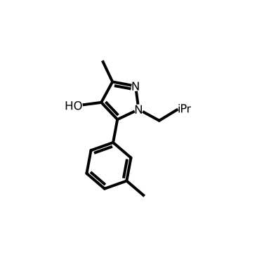 Cc1cccc(-c2c(O)c(C)nn2CC(C)C)c1